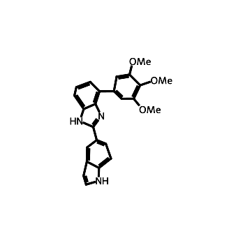 COc1cc(-c2cccc3[nH]c(-c4ccc5[nH]ccc5c4)nc23)cc(OC)c1OC